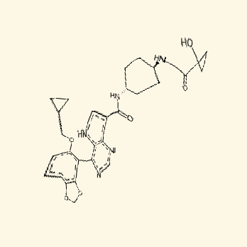 O=C(N[C@H]1CC[C@H](NC(=O)C2(O)CC2)CC1)c1c[nH]c2c(-c3c(OCC4CC4)ccc4c3OCO4)ncnc12